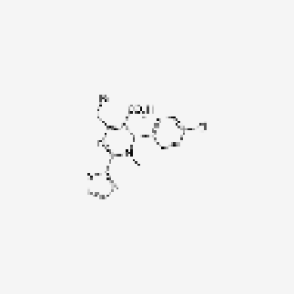 CN1C(c2nccs2)=NC(CBr)=C(C(=O)O)C1c1ccc(Cl)cc1